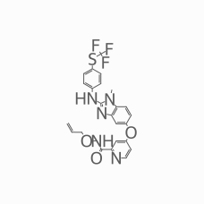 C=CCONC(=O)c1cc(Oc2ccc3c(c2)nc(Nc2ccc(SC(F)(F)F)cc2)n3C)ccn1